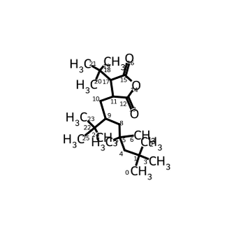 CC(C)(C)CC(C)(C)CC(CC1C(=O)OC(=O)C1C(C)(C)C)C(C)(C)C